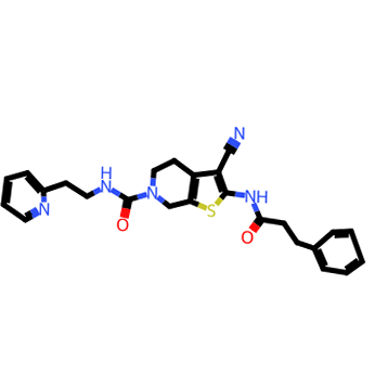 N#Cc1c(NC(=O)CCc2ccccc2)sc2c1CCN(C(=O)NCCc1ccccn1)C2